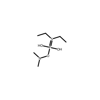 CCS(CC)=P(O)(O)ON(C)C